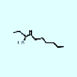 CCCCCCNC(N)CC